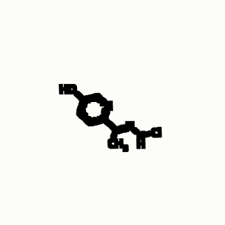 CC(=NNCl)c1ccc(O)cn1